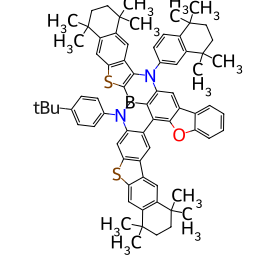 CC(C)(C)c1ccc(N2B3c4sc5cc6c(cc5c4N(c4ccc5c(c4)C(C)(C)CCC5(C)C)c4cc5c(oc7ccccc75)c(c43)-c3cc4c(cc32)sc2cc3c(cc24)C(C)(C)CCC3(C)C)C(C)(C)CCC6(C)C)cc1